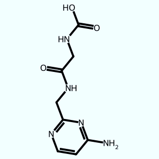 Nc1ccnc(CNC(=O)CNC(=O)O)n1